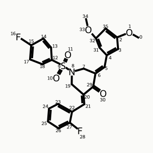 COc1cc(C=C2CN(S(=O)(=O)c3ccc(F)cc3)CC(=Cc3ccccc3F)C2=O)cc(OC)c1